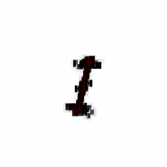 Cc1c(-c2ccnn2-c2ccc(C#N)cc2)cc(C(=O)NCCOCCOCCOCCOCCNC(=O)CCC(=O)NCCOCCOCCOCCOCCNC(=O)c2cc(-c3ccnn3-c3ccc(C#N)cc3)c(C)n(-c3cccc(C(F)(F)F)c3)c2=O)c(=O)n1-c1cccc(C(F)(F)F)c1